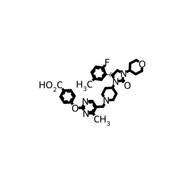 Cc1ccc(F)c([C@@H]2CN(C3CCOCC3)C(=O)N2C2CCN(Cc3cnc(Oc4ccc(C(=O)O)cc4)nc3C)CC2)c1